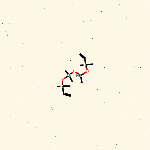 C=C[Si](C)(C)O[SiH](C)O[Si](C)(C)O[Si](C)(C)C=C